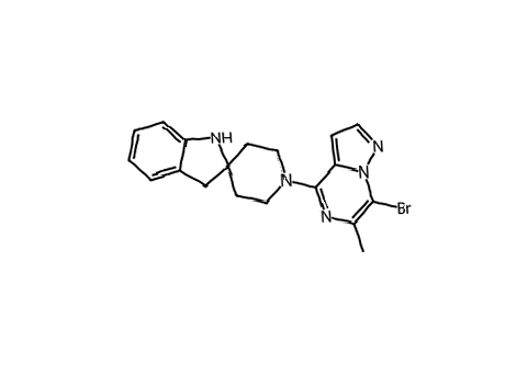 Cc1nc(N2CCC3(CC2)Cc2ccccc2N3)c2ccnn2c1Br